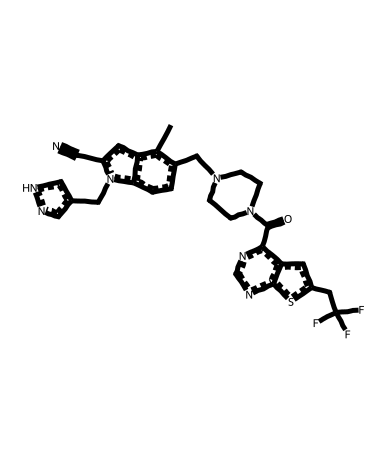 Cc1c(CN2CCN(C(=O)c3ncnc4sc(CC(F)(F)F)cc34)CC2)ccc2c1cc(C#N)n2Cc1cn[nH]c1